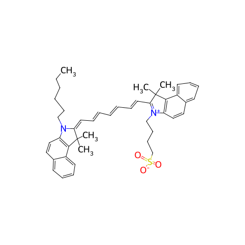 CCCCCCN1/C(=C/C=C/C=C/C=C/C2=[N+](CCCCS(=O)(=O)[O-])c3ccc4ccccc4c3C2(C)C)C(C)(C)c2c1ccc1ccccc21